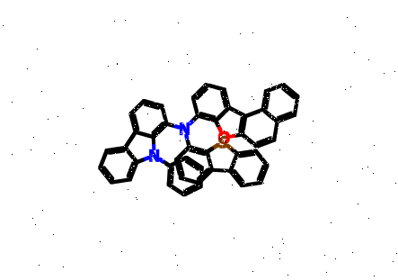 c1ccc(-n2c3ccccc3c3cccc(N(c4cccc5c4oc4ccc6ccccc6c45)c4cccc5c4sc4ccccc45)c32)cc1